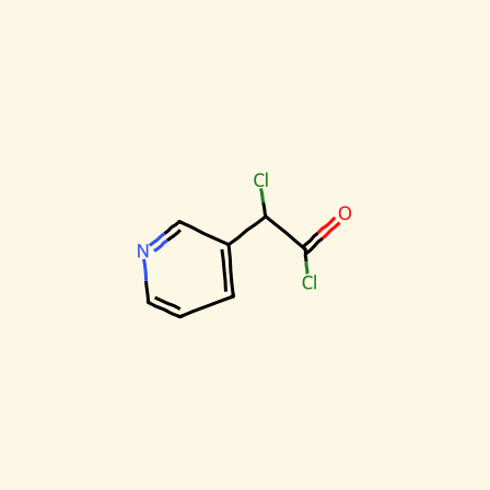 O=C(Cl)C(Cl)c1cccnc1